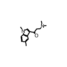 Cc1ccc2c(c1)c(C(=O)CCN(C)C)cn2C